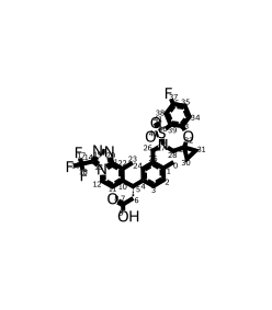 Cc1ccc([C@H](CC(=O)O)c2ccn3c(C(F)(F)F)nnc3c2C)cc1CN1CC2(CC2)Oc2ccc(F)cc2S1(=O)=O